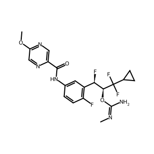 C/N=C(/N)O[C@@H]([C@H](F)c1cc(NC(=O)c2cnc(OC)cn2)ccc1F)C(F)(F)C1CC1